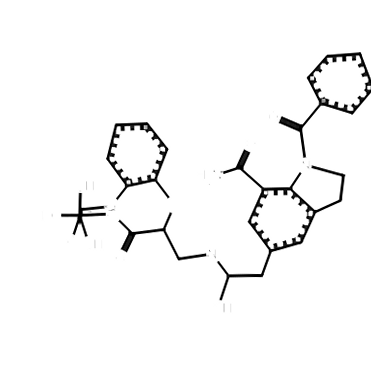 CCOc1ccccc1OC(CNC(C)Cc1cc2c(c(C(N)=O)c1)N(C(=O)c1ccccc1)CC2)C(=O)OC(C)(C)C